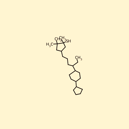 CCC(CCCC1CC(C)(C)C(C)(S)C1)C1CCC(C2CCCC2)CC1